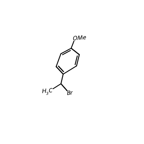 COc1ccc(C(C)Br)cc1